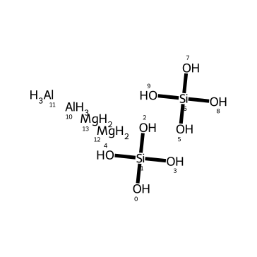 O[Si](O)(O)O.O[Si](O)(O)O.[AlH3].[AlH3].[MgH2].[MgH2]